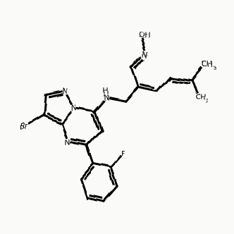 CC(C)=C/C=C(\C=N\O)CNc1cc(-c2ccccc2F)nc2c(Br)cnn12